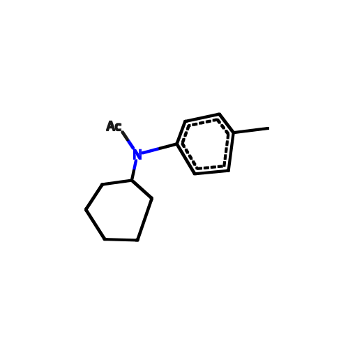 CC(=O)N(c1ccc(C)cc1)C1CCCCC1